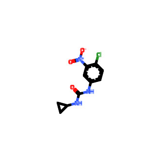 O=C(Nc1ccc(Cl)c([N+](=O)[O-])c1)NC1CC1